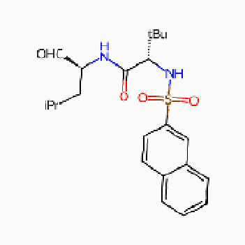 CC(C)C[C@@H](C=O)NC(=O)[C@@H](NS(=O)(=O)c1ccc2ccccc2c1)C(C)(C)C